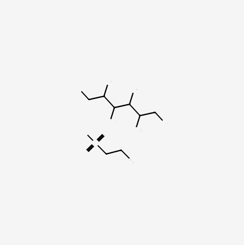 NCCS(=O)(=O)O.OCC(O)C(O)C(O)C(O)CO